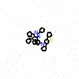 c1ccc(-c2nc(-c3cccc(-n4c5ccccc5c5cc6sc7ccccc7c6cc54)c3)c3c(n2)-c2ccccc2[Si]3(c2ccccc2)c2ccccc2)cc1